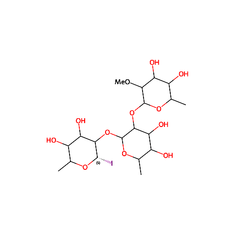 COC1C(OC2C(OC3C(O)C(O)C(C)O[C@H]3I)OC(C)C(O)C2O)OC(C)C(O)C1O